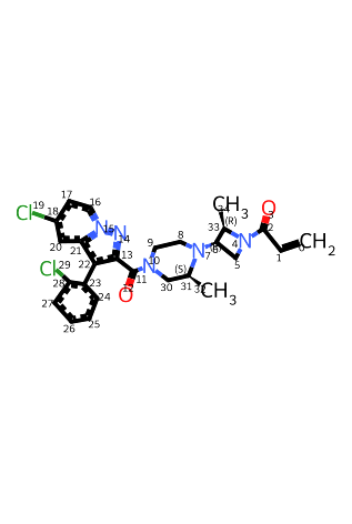 C=CC(=O)N1C[C@@H](N2CCN(C(=O)c3nn4ccc(Cl)cc4c3-c3ccccc3Cl)C[C@@H]2C)[C@H]1C